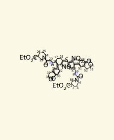 CCOC(=O)C1CCCN(C(=O)/C=C/c2ccc(Sc3ccc(/C=C/C(=O)N4CCCC(C(=O)OCC)C4)c(-c4ccc5c(c4)CCOO5)c3[N+](=O)[O-])c([N+](=O)[O-])c2-c2ccc3c(c2)CCOO3)C1